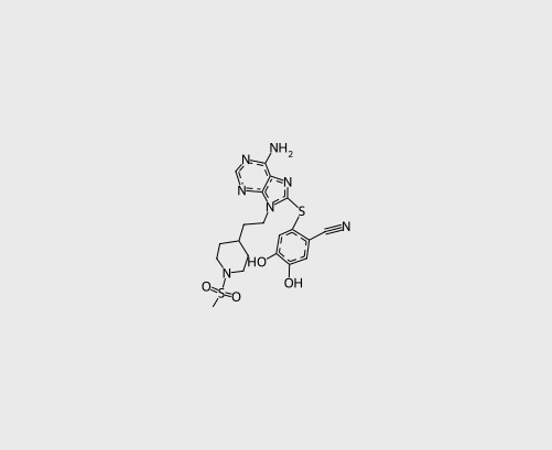 CS(=O)(=O)N1CCC(CCn2c(Sc3cc(O)c(O)cc3C#N)nc3c(N)ncnc32)CC1